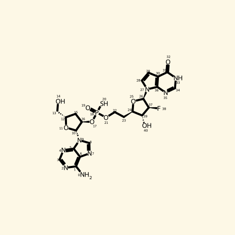 Nc1ncnc2c1ncn2[C@@H]1O[C@H](CO)C[C@H]1OP(=O)(S)OCC[C@H]1O[C@@H](n2ccc3c(=O)[nH]cnc32)[C@@H](F)[C@@H]1O